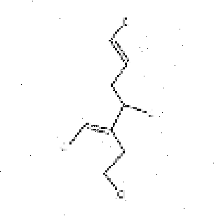 ClC=CCC(Cl)C(=CCl)CCCl